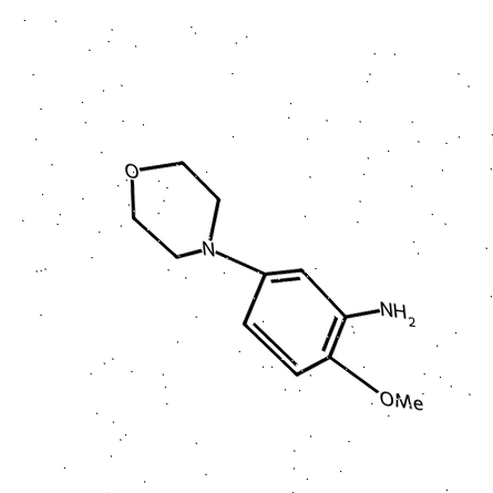 COc1ccc(N2CCOCC2)cc1N